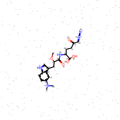 COC(Cc1c[nH]c2ccc(N(C)C)cc12)C(=O)NC(CCC(=O)C=[N+]=[N-])C(=O)O